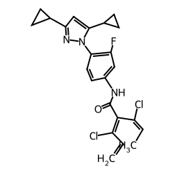 C=C/C(Cl)=C(C(=O)Nc1ccc(-n2nc(C3CC3)cc2C2CC2)c(F)c1)\C(Cl)=C/C